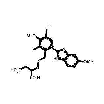 COc1ccc2[nH]c(-[n+]3cc(C)c(OC)c(C)c3CSSC(CC(=O)O)C(=O)O)nc2c1.[Cl-]